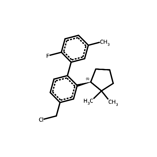 Cc1ccc(F)c(-c2ccc(CCl)cc2[C@H]2CCCC2(C)C)c1